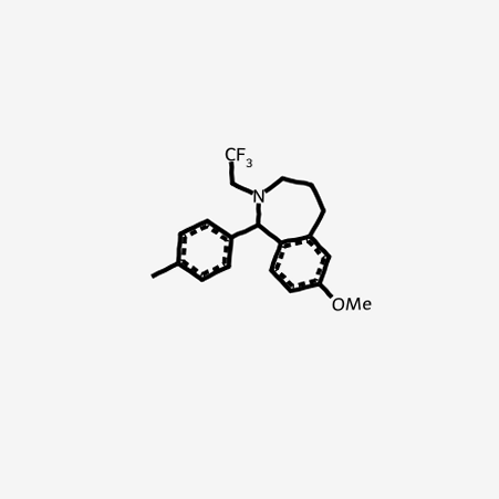 COc1ccc2c(c1)CCCN(CC(F)(F)F)C2c1ccc(C)cc1